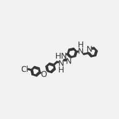 Clc1ccc(Oc2ccc(CNc3nc4cc(NCc5ccccn5)ccc4[nH]3)cc2)cc1